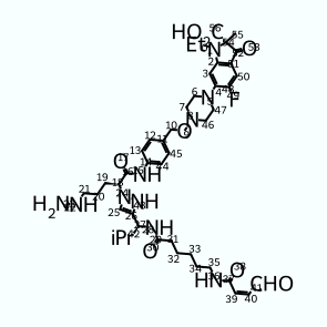 CCN1c2cc(N3CCN(OCc4ccc(NC(=O)[C@H](CCCNN)n5cc([C@@H](NC(=O)CCCCCNC(=O)/C=C\C=O)C(C)C)[nH]5)cc4)CC3)c(F)cc2C(=O)[C@@]1(C)C(=O)O